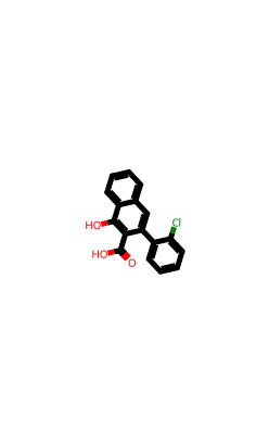 O=C(O)c1c(-c2ccccc2Cl)cc2ccccc2c1O